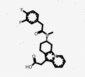 CN(C(=O)Cc1ccc(F)c(F)c1)[C@@H]1CCc2c(CC(=O)O)c3ccccn3c2C1